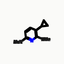 CNc1ccc(C2CC2)c(NC)n1